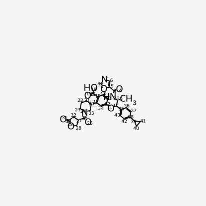 C[C@H](NC(=O)c1cnco1)[C@H](Oc1ccc(C(=O)O)c([C@@H]2CCCN(C(=O)[C@H]3COC(=O)C3)C2)c1)c1ccc(C2CC2)cc1